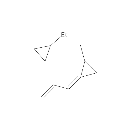 C=CC=C1CC1C.CCC1CC1